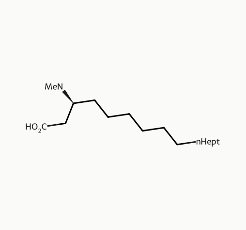 CCCCCCCCCCCCC[C@@H](CC(=O)O)NC